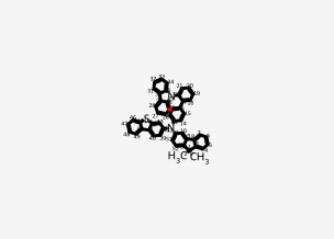 CC1(C)c2ccccc2-c2cc(N(c3ccc(-c4ccccc4-n4c5ccccc5c5ccccc54)cc3)c3ccc4c(c3)sc3ccccc34)ccc21